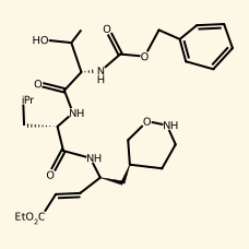 CCOC(=O)/C=C/[C@H](C[C@@H]1CCNOC1)NC(=O)[C@H](CC(C)C)NC(=O)[C@@H](NC(=O)OCc1ccccc1)C(C)O